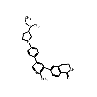 CSN(C)C1CCN(c2ccc(-c3cnc(N)c(-c4ccc5c(c4)CCNC5=O)c3)cc2)C1